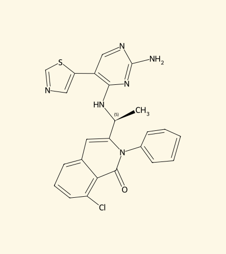 C[C@H](Nc1nc(N)ncc1-c1cncs1)c1cc2cccc(Cl)c2c(=O)n1-c1ccccc1